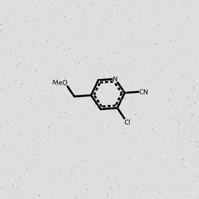 COCc1cnc(C#N)c(Cl)c1